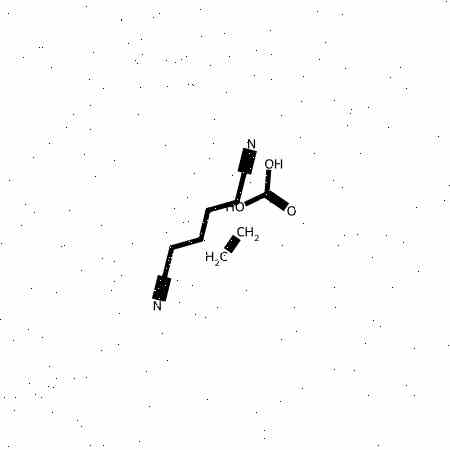 C=C.N#CCCCCC#N.O=C(O)O